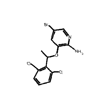 CC(Oc1cc(Br)cnc1N)c1c(Cl)cccc1Cl